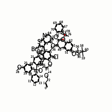 C=CCOC[C@H](COC(c1ccccc1)(c1ccc(OC)cc1)c1ccc(OC)cc1)Oc1c(Cl)c(C)c(-c2c(Br)sc3ncnc(O[C@H](Cc4cc(O[Si](C)(C)C(C)(C)C)ccc4OCc4ccccc4)C(=O)OC(C)(C)C)c23)c(C)c1Cl